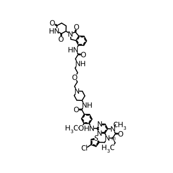 CC[C@@H]1C(=O)N(C)c2cnc(Nc3ccc(C(=O)NC4CCN(CCOCCNCC(=O)Nc5cccc6c5CN(C5CCC(=O)NC5=O)C6=O)CC4)cc3OC)nc2N1Cc1cc(Cl)cs1